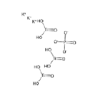 O=P([O-])([O-])[O-].[K+].[K+].[K+].[O]=[Ti]([OH])[OH].[O]=[Ti]([OH])[OH].[O]=[Ti]([OH])[OH]